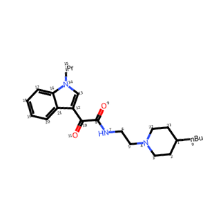 CCCCC1CCN(CCNC(=O)C(=O)c2cn(C(C)C)c3ccccc23)CC1